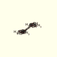 Cc1ccc2c(O)c3c(OC(=O)CCCCCCCCCCC(=O)Oc4c(C)ccc5c(O)c6cc(C)ccc6c(O)c45)c(C)ccc3c(O)c2c1